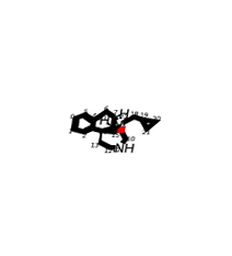 c1ccc2c(c1)C[C@@H]1[C@H]3CCNCC[C@@]23CCN1CC1CC1